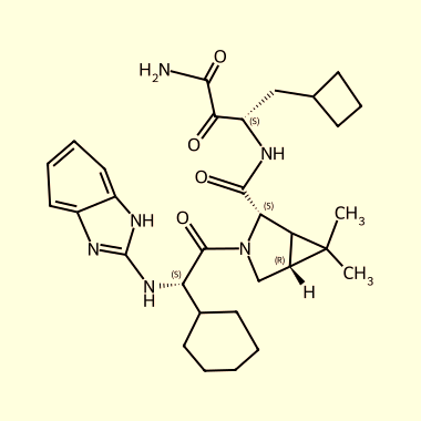 CC1(C)C2[C@@H](C(=O)N[C@@H](CC3CCC3)C(=O)C(N)=O)N(C(=O)[C@@H](Nc3nc4ccccc4[nH]3)C3CCCCC3)C[C@H]21